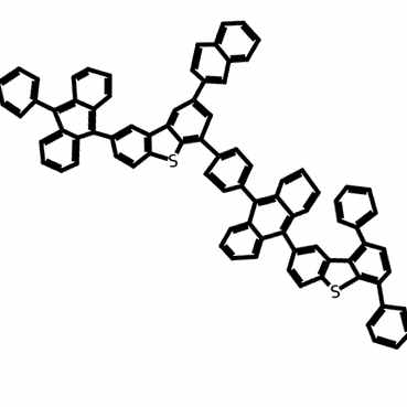 c1ccc(-c2c3ccccc3c(-c3ccc4sc5c(-c6ccc(-c7c8ccccc8c(-c8ccc9sc%10c(-c%11ccccc%11)ccc(-c%11ccccc%11)c%10c9c8)c8ccccc78)cc6)cc(-c6ccc7ccccc7c6)cc5c4c3)c3ccccc23)cc1